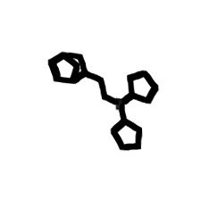 C1=CC2CC1CC2CCB(C1CCCC1)C1CCCC1